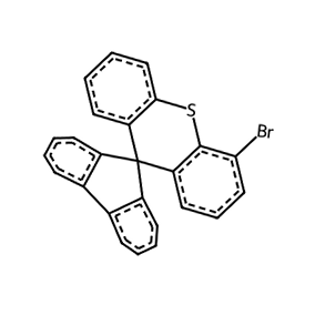 Brc1cccc2c1Sc1ccccc1C21c2ccccc2-c2ccccc21